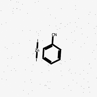 N#Cc1[c]cccc1.[I][Zn][I]